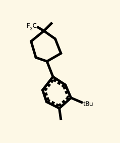 Cc1ccc(C2CCC(C)(C(F)(F)F)CC2)cc1C(C)(C)C